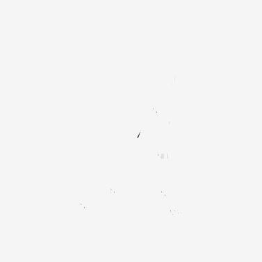 CON=C(C(=O)NC1C(=O)N2C(C(=O)O)=C(C=CC(F)(F)F)CS[C@@H]12)c1csc(N)n1